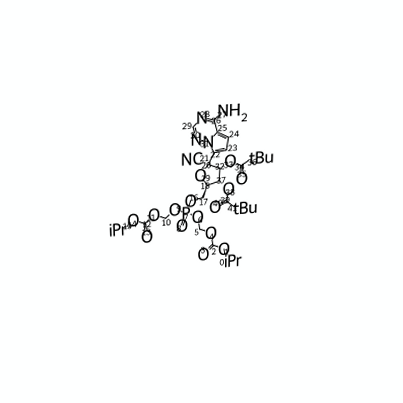 CC(C)OC(=O)OCOP(=O)(OCOC(=O)OC(C)C)OC[C@H]1O[C@@](C#N)(c2ccc3c(N)ncnn23)[C@H](OC(=O)C(C)(C)C)[C@@H]1OC(=O)C(C)(C)C